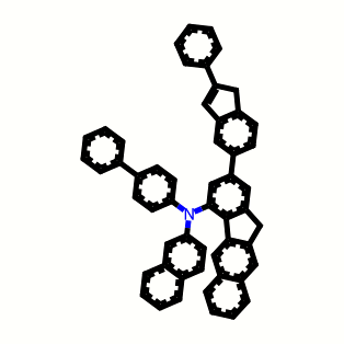 C1=C(c2ccccc2)Cc2ccc(-c3cc4c(c(N(c5ccc(-c6ccccc6)cc5)c5ccc6ccccc6c5)c3)-c3cc5ccccc5cc3C4)cc21